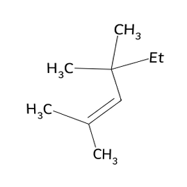 CCC(C)(C)C=C(C)C